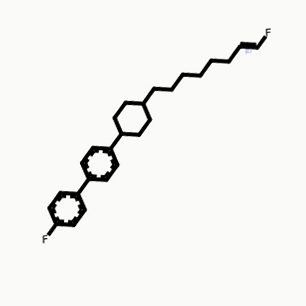 F/C=C/CCCCCCC1CCC(c2ccc(-c3ccc(F)cc3)cc2)CC1